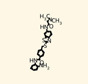 CN(C)CC(=O)Nc1ccc2nc(SCc3ccc(C(=O)Nc4ccccc4N)cc3)sc2c1